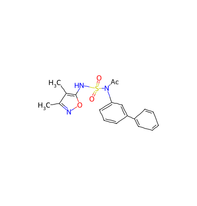 CC(=O)N(c1cccc(-c2ccccc2)c1)S(=O)(=O)Nc1onc(C)c1C